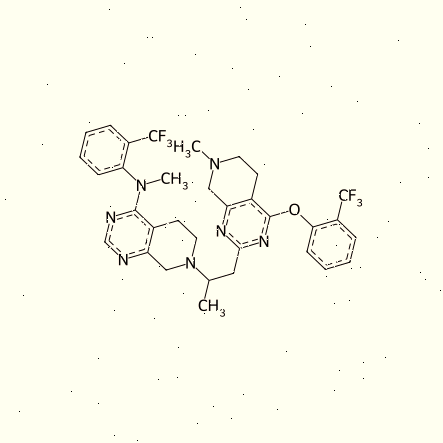 CC(Cc1nc2c(c(Oc3ccccc3C(F)(F)F)n1)CCN(C)C2)N1CCc2c(ncnc2N(C)c2ccccc2C(F)(F)F)C1